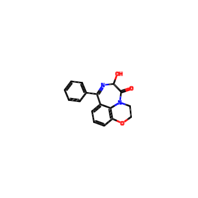 O=C1C(O)N=C(c2ccccc2)c2cccc3c2N1CCO3